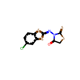 O=C1CSC(=S)N1N=c1sc2ccc(Cl)cc2s1